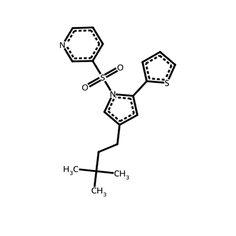 CC(C)(C)CCc1cc(-c2cccs2)n(S(=O)(=O)c2cccnc2)c1